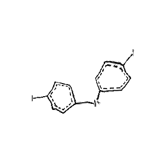 Ic1ccc([I+]c2ccc(I)cc2)cc1